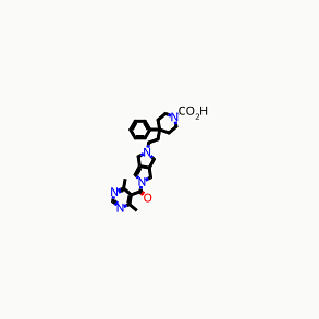 Cc1ncnc(C)c1C(=O)N1C=C2CN(CCC3(c4ccccc4)CCN(C(=O)O)CC3)CC2C1